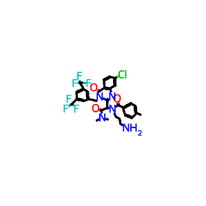 Cc1ccc(C(=O)N(CCCN)C(C(=O)N(C)C)c2nc3cc(Cl)ccc3c(=O)n2Cc2cc(C(F)(F)F)cc(C(F)(F)F)c2)cc1